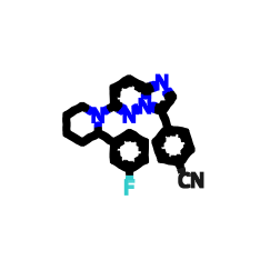 N#Cc1ccc(-c2cnc3ccc(N4CCCCC4c4cccc(F)c4)nn23)cc1